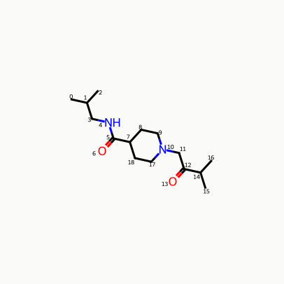 CC(C)CNC(=O)C1CCN(CC(=O)C(C)C)CC1